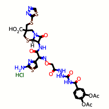 CC(=O)Oc1ccc(C(=O)NC(=O)NNC(=O)CON=C(C(=O)NC2C(=O)N3CC(CSc4nncs4)(C(=O)O)CS[C@H]23)c2csc(N)n2)cc1OC(C)=O.Cl